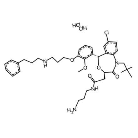 COc1c(OCCCNCCCc2ccccc2)cccc1[C@H]1O[C@H](CC(=O)NCCCN)C(=O)N(CC(C)(C)C)c2ccc(Cl)cc21.Cl.Cl